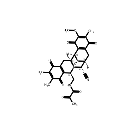 COC1=C(C)C(=O)C2=C(C1=O)[C@@H]1[C@@H]3CC4=C(C(=O)C(C)=C(C)C4=O)[C@H](CNC(=O)C(C)=O)N3[C@@H](C#N)[C@H](C2)N1C